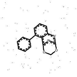 c1ccc(-c2cccc3nc4nc(c23)OCO4)cc1